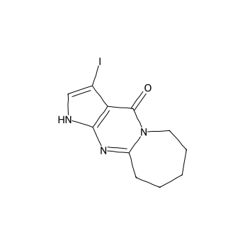 O=c1c2c(I)c[nH]c2nc2n1CCCCC2